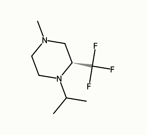 CC(C)N1CCN(C)C[C@@H]1C(F)(F)F